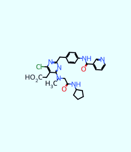 CN(CC(=O)NC1CCCC1)c1nc(Cc2ccc(NC(=O)c3cccnc3)cc2)nc(Cl)c1CC(=O)O